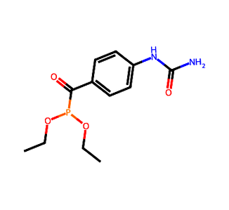 CCOP(OCC)C(=O)c1ccc(NC(N)=O)cc1